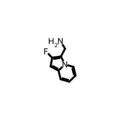 NCc1c(F)cc2ccccn12